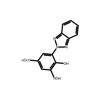 CCCCCCCCCCc1cc(CCCCCCCC)cc(-n2nc3ccccc3n2)c1O